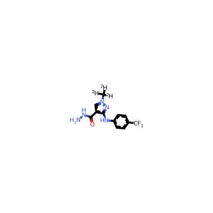 [2H]C([2H])([2H])n1cc(C(=O)NN)c(Nc2ccc(C(F)(F)F)cc2)n1